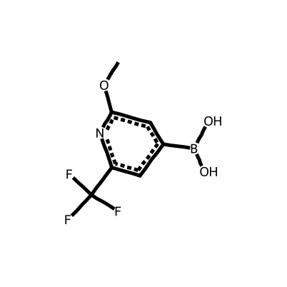 COc1cc(B(O)O)cc(C(F)(F)F)n1